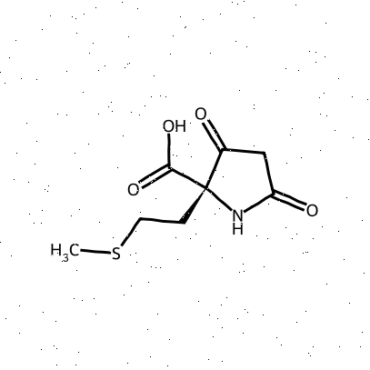 CSCC[C@]1(C(=O)O)NC(=O)CC1=O